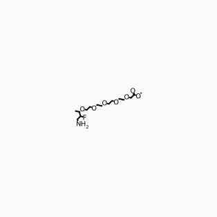 COC(=O)COCCOCCOCCOCCOC(C)C(F)CN